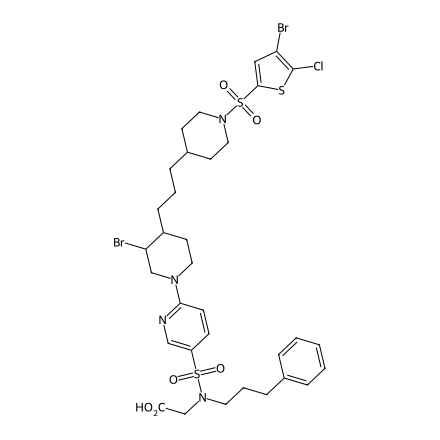 O=C(O)CN(CCCc1ccccc1)S(=O)(=O)c1ccc(N2CCC(CCCC3CCN(S(=O)(=O)c4cc(Br)c(Cl)s4)CC3)C(Br)C2)nc1